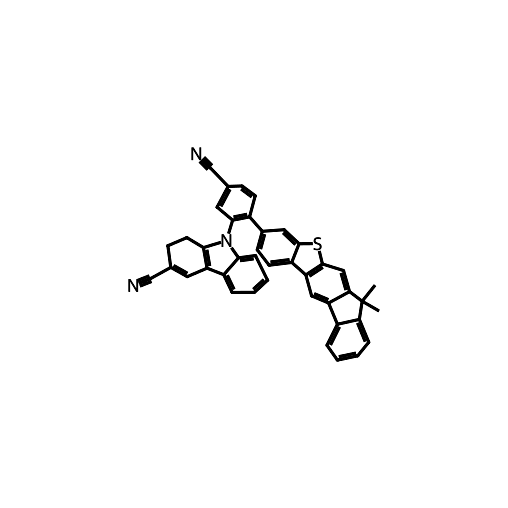 CC1(C)c2ccccc2-c2cc3c(cc21)sc1cc(-c2ccc(C#N)cc2-n2c4c(c5ccccc52)C=C(C#N)CC4)ccc13